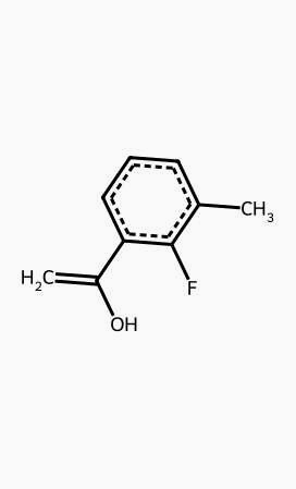 C=C(O)c1cccc(C)c1F